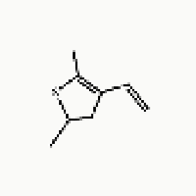 C=CC1=C(C)SC(C)C1